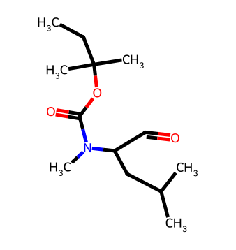 CCC(C)(C)OC(=O)N(C)C(C=O)CC(C)C